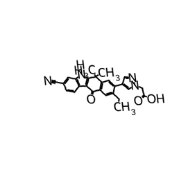 CCc1cc2c(cc1-c1cnn(CC(=O)O)c1)C(C)(C)c1[nH]c3cc(C#N)ccc3c1C2=O